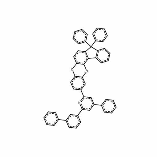 c1ccc(-c2cccc(-c3cc(-c4ccccc4)cc(-c4ccc5c(c4)Oc4c(ccc6c4-c4ccccc4C6(c4ccccc4)c4ccccc4)O5)n3)c2)cc1